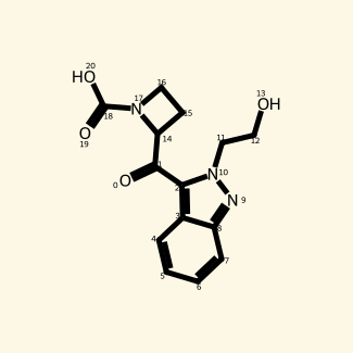 O=C(c1c2ccccc2nn1CCO)C1CCN1C(=O)O